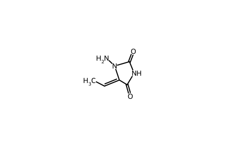 CC=C1C(=O)NC(=O)N1N